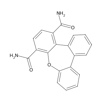 NC(=O)c1ccc(C(N)=O)c2c1Oc1ccccc1-c1ccccc1-2